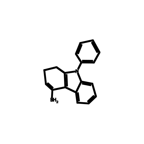 BC1=CCCc2c1c1ccccc1n2-c1ccccc1